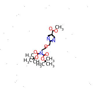 COC(=O)c1cnc(COCCN(C(=O)OC(C)(C)C)C(=O)OC(C)(C)C)nc1